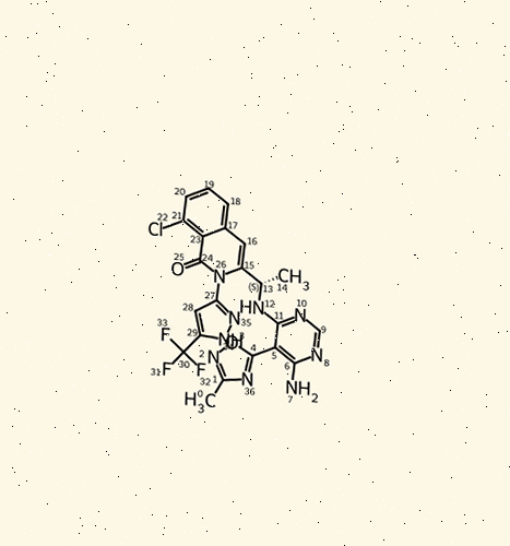 Cc1noc(-c2c(N)ncnc2N[C@@H](C)c2cc3cccc(Cl)c3c(=O)n2-c2cc(C(F)(F)F)[nH]n2)n1